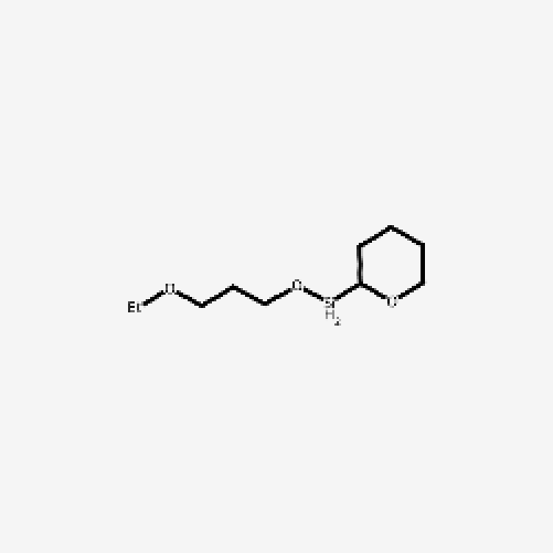 CCOCCCO[SiH2]C1CCCCO1